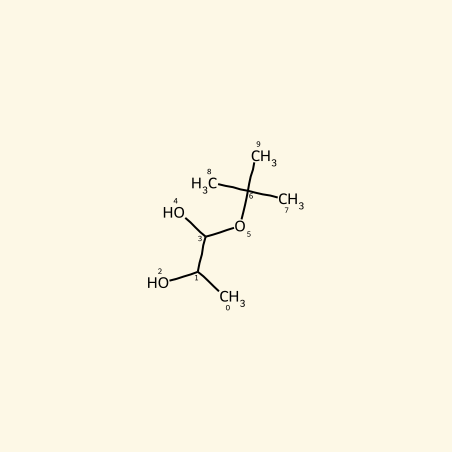 CC(O)C(O)OC(C)(C)C